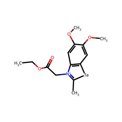 CCOC(=O)C[n+]1c(C)[te]c2cc(OC)c(OC)cc21